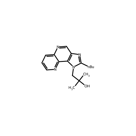 CCCCc1nc2cnc3cccnc3c2n1CC(C)(C)O